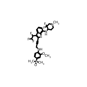 COc1cc(P(C)(C)=O)ccc1NCC#Cc1sc2c(NC3CCN(C)CC3(F)F)cccc2c1C(F)C(F)F